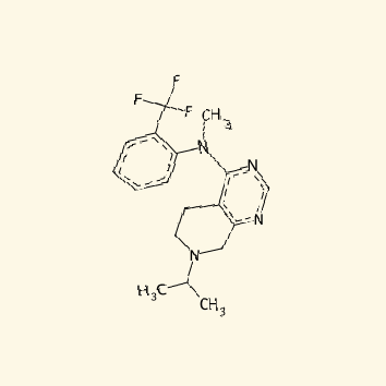 CC(C)N1CCc2c(ncnc2N(C)c2ccccc2C(F)(F)F)C1